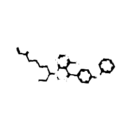 C=CC(=O)CCCCC(CC)N(C)c1ncnc(N)c1C(=N)c1ccc(Oc2ccccc2)cc1